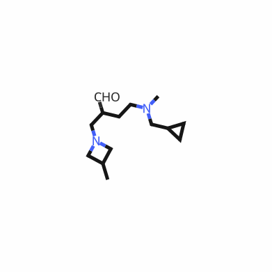 CC1CN(CC(C=O)CCN(C)CC2CC2)C1